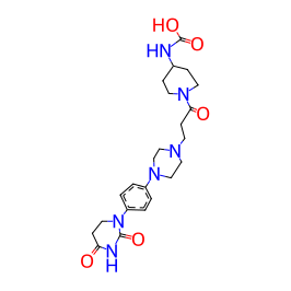 O=C(O)NC1CCN(C(=O)CCN2CCN(c3ccc(N4CCC(=O)NC4=O)cc3)CC2)CC1